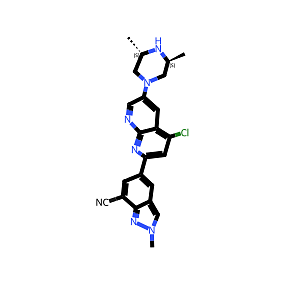 C[C@H]1CN(c2cnc3nc(-c4cc(C#N)c5nn(C)cc5c4)cc(Cl)c3c2)C[C@H](C)N1